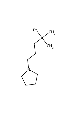 CCC(C)(C)CCCN1CCCC1